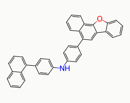 c1ccc2c(-c3ccc(Nc4ccc(-c5cc6c7ccccc7oc6c6ccccc56)cc4)cc3)cccc2c1